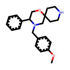 COc1ccc(CN2CC3(CCNCC3)OCC2c2ccccc2)cc1